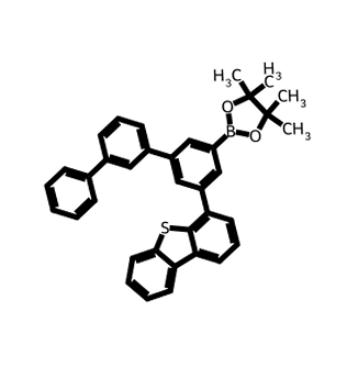 CC1(C)OB(c2cc(-c3cccc(-c4ccccc4)c3)cc(-c3cccc4c3sc3ccccc34)c2)OC1(C)C